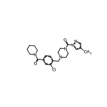 Cc1cnn(C(=O)N2CCN(Cc3ccc(C(=O)N4CCCCC4)cc3Cl)CC2)c1